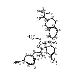 CCOC(=O)[C@]1(C(=O)C(N)Cc2cccc(C#N)c2)CC(C)=CCN1S(=O)(=O)c1ccc2c(c1)CN(C(=O)C(F)(F)F)CC2